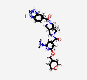 CN(C)c1cc(C(=O)N2CC3CN(C(=O)c4ccc5[nH]nnc5c4)C[C@H]3C2)cc(OCC2CCOCC2)n1